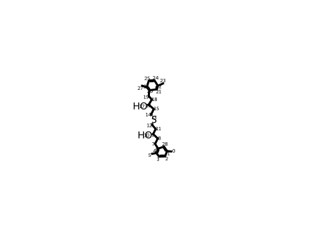 Cc1ccc(C)c(CCC(O)CCSCCC(O)CCc2cc(C)ccc2C)c1